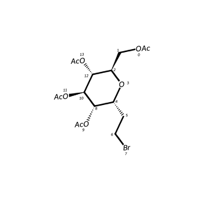 CC(=O)OC[C@H]1O[C@H](CCBr)[C@H](OC(C)=O)[C@@H](OC(C)=O)[C@@H]1OC(C)=O